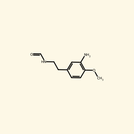 COc1ccc(CCNC=O)cc1N